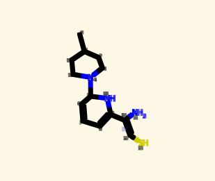 CC1CCN(C2C=CC=C(/C(N)=C/S)N2)CC1